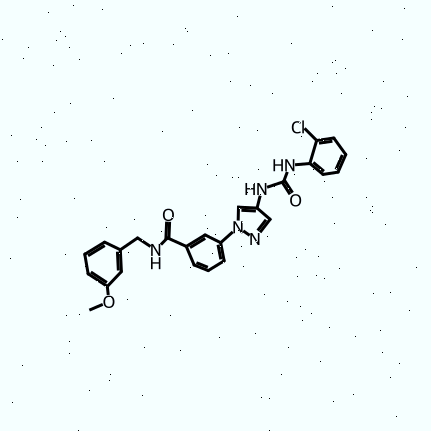 COc1cccc(CNC(=O)c2cccc(-n3cc(NC(=O)Nc4ccccc4Cl)cn3)c2)c1